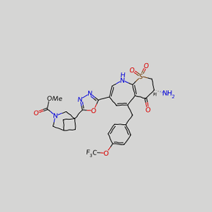 COC(=O)N1CC2CC(c3nnc(C4=CNC5=C(C(=O)[C@@H](N)CS5(=O)=O)C(Cc5ccc(OC(F)(F)F)cc5)=C4)o3)(C2)C1